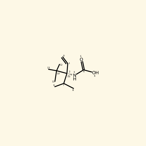 C=C[C@@](NC(=O)O)(C(C)C)C(C)(C)C